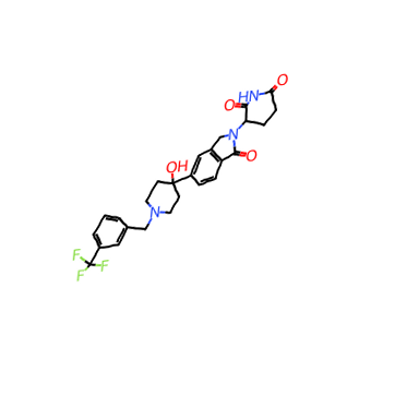 O=C1CCC(N2Cc3cc(C4(O)CCN(Cc5cccc(C(F)(F)F)c5)CC4)ccc3C2=O)C(=O)N1